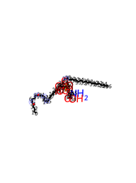 CCCCC/C=C\C/C=C\C/C=C\C/C=C\CCCCCC(=O)O[C@H](CO/C=C\CCCCCCCCCCCCCCCCCC)COP(=O)(O)OC[C@H](N)C(=O)O